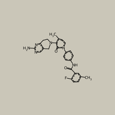 Cc1ccc(F)c(C(=O)Nc2ccc(-n3ccc(C)c(N4CCc5nc(N)ncc5C4)c3=O)cc2)c1